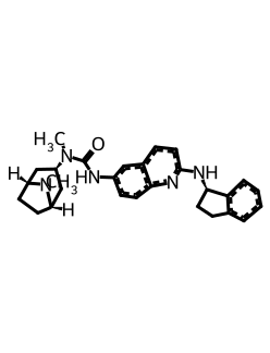 CN(C(=O)Nc1ccc2nc(N[C@@H]3CCc4ccccc43)ccc2c1)[C@@H]1C[C@H]2CC[C@@H](C1)N2C